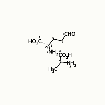 CC(N)C(=O)O.N[C@@H](CC[C]=O)C(=O)O